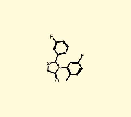 Cc1ccc(F)cc1N1C(=O)CSC1c1cccc(F)c1